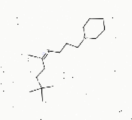 C/C(CCC(C)(C)C)=N/CCCN1CCCCC1